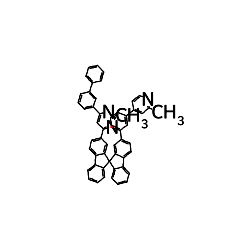 Cc1cc(-c2cccc(-c3ccc4c(c3)C3(c5ccccc5-4)c4ccccc4-c4ccc(-c5cc(-c6cccc(-c7ccccc7)c6)nc(C)n5)cc43)c2)ccn1